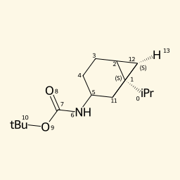 CC(C)[C@@]12C3CCC(NC(=O)OC(C)(C)C)C1[C@H]32